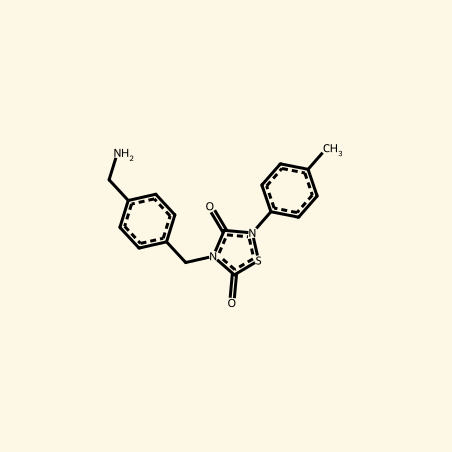 Cc1ccc(-n2sc(=O)n(Cc3ccc(CN)cc3)c2=O)cc1